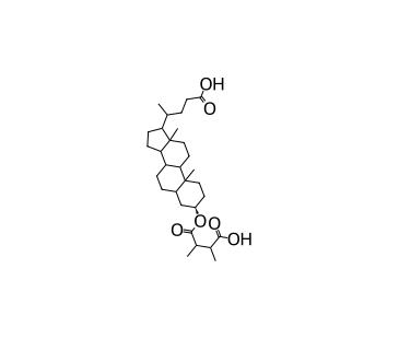 CC(CCC(=O)O)C1CCC2C3CCC4C[C@H](OC(=O)C(C)C(C)C(=O)O)CCC4(C)C3CCC12C